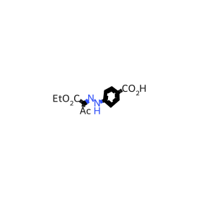 CCOC(=O)C(=NNc1ccc(C(=O)O)cc1)C(C)=O